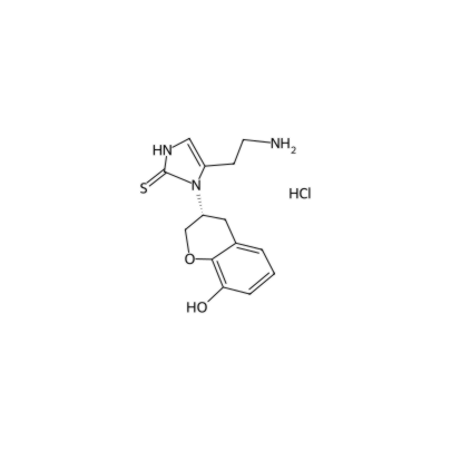 Cl.NCCc1c[nH]c(=S)n1[C@H]1COc2c(O)cccc2C1